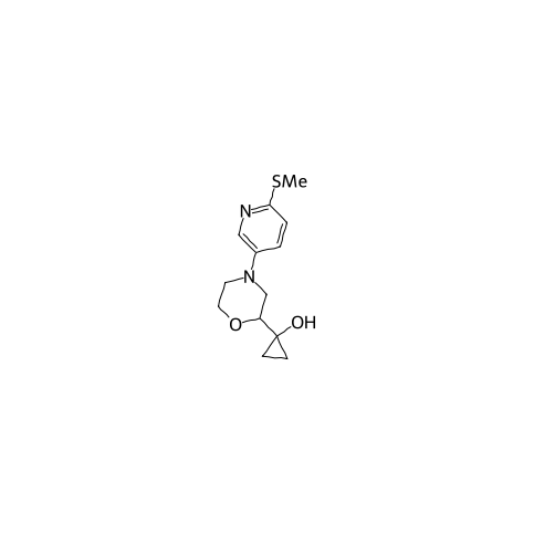 CSc1ccc(N2CCOC(C3(O)CC3)C2)cn1